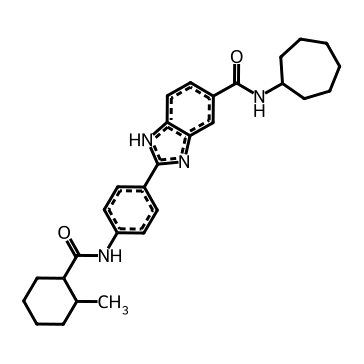 CC1CCCCC1C(=O)Nc1ccc(-c2nc3cc(C(=O)NC4CCCCCC4)ccc3[nH]2)cc1